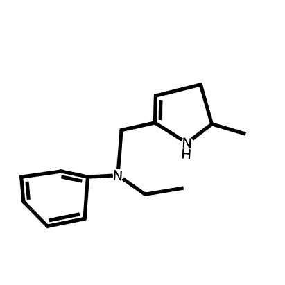 CCN(CC1=CCC(C)N1)c1ccccc1